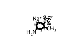 Cc1cc(N)ccc1S(=O)(=O)[O-].[Na+]